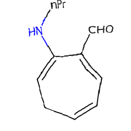 CCCNC1=CCC=CC=C1C=O